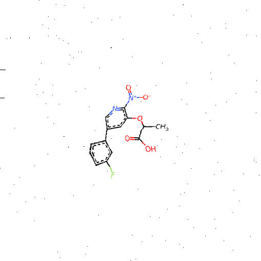 CC(Oc1cc(-c2cccc(F)c2)cnc1[N+](=O)[O-])C(=O)O